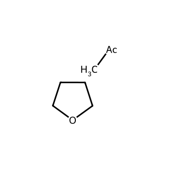 C1CCOC1.CC(C)=O